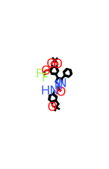 CC1(C)Cc2cc(NC(=O)N3CC(c4cc(OC(F)F)c5c(c4)OC(C)(C)O5)C(c4ccccc4)=N3)ccc2O1